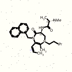 C/C=C\C1=C(C)N(CCC(C)C)C[C@H](NC(=O)[C@H](C)NC)C(=O)N1Cc1cccc2ccccc12